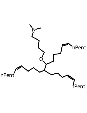 CCCCC/C=C\CCCC(CCC/C=C\CCCCC)C(CCC/C=C\CCCCC)OCCCCN(C)C